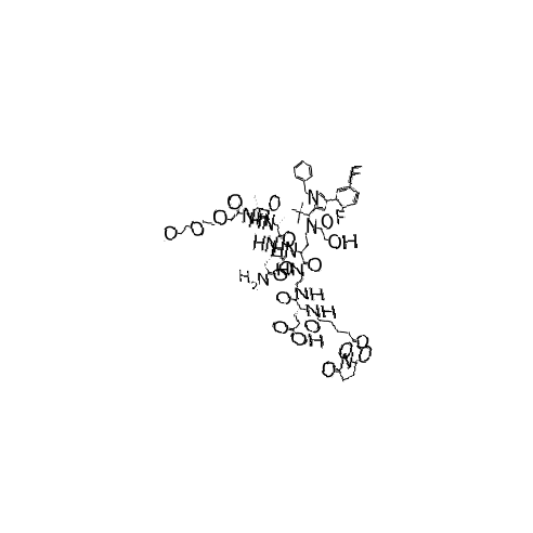 COCCOCCOCC(=O)N[C@H](C)C(=O)N[C@H](C)C(=O)N[C@@H](CC(N)=O)C(=O)N[C@@H](CCN(C(=O)CO)[C@@H](c1cc(-c2cc(F)ccc2F)cn1Cc1ccccc1)C(C)(C)C)C(=O)NCCNC(=O)[C@@H](CCC(=O)O)NC(=O)CCCC(=O)ON1C(=O)CCC1=O